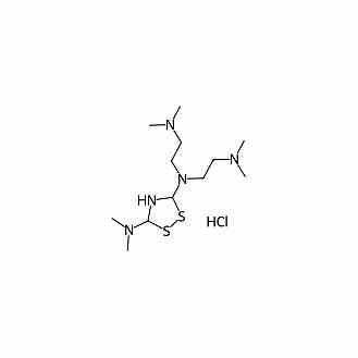 CN(C)CCN(CCN(C)C)C1NC(N(C)C)SS1.Cl